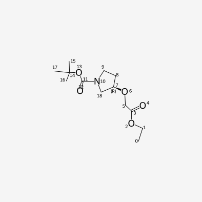 CCOC(=O)CO[C@@H]1CCN(C(=O)OC(C)(C)C)C1